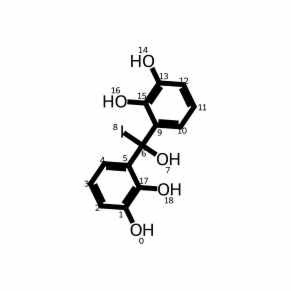 Oc1cccc(C(O)(I)c2cccc(O)c2O)c1O